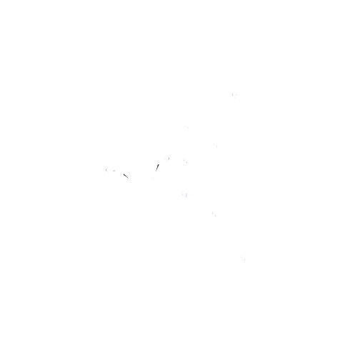 COC[C@@H](C)Nc1nc(C)c(-c2nc3c(C)nccc3s2)c(N[C@@H]2C[C@H](C(C)(C)O)[C@@H](OC)[C@H]2OC)n1